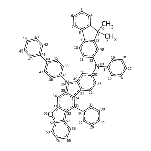 CC1(C)c2ccccc2-c2ccc(N(c3ccccc3)c3ccc4c5c(-c6ccccc6)c6c(cc5n(-c5ccc(-c7ccccc7)cc5)c4c3)oc3ccccc36)cc21